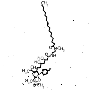 CCCCCCCCC=CCCCCCCCC(=O)N(C)CCNC(=O)C[C@H](O)C[C@H](O)C=Cc1c(-c2ccc(F)cc2)nc(N(C)S(C)(=O)=O)nc1C(C)C